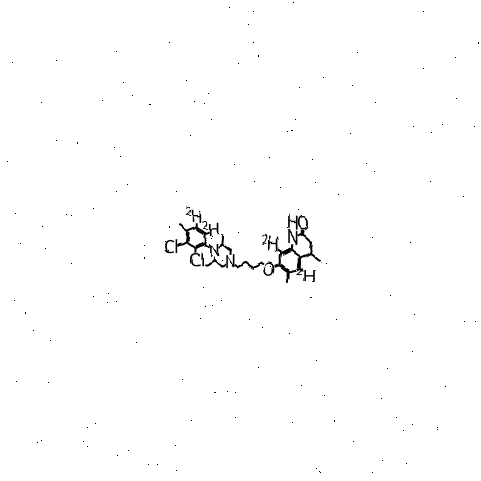 [2H]c1c([2H])c(N2C(C)CN(CCCCOc3c([2H])c4c(c([2H])c3C)C(C)CC(=O)N4)CC2C)c(Cl)c(Cl)c1C